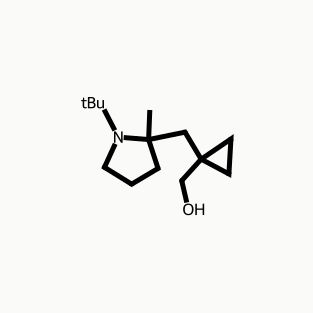 CC(C)(C)N1CCCC1(C)CC1(CO)CC1